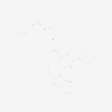 CCCCOC(=O)NC12CCC(CNc3cc(-n4c(C(F)F)nc5ccccc54)nc(N4CCOCC4)n3)(CC1)CC2